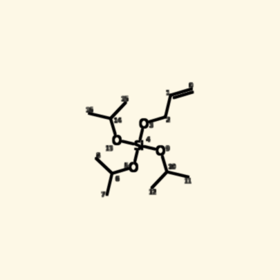 C=CCO[Si](OC(C)C)(OC(C)C)OC(C)C